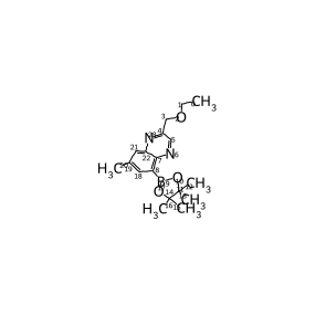 CCOCc1cnc2c(B3OC(C)(C)C(C)(C)O3)cc(C)cc2n1